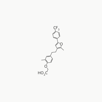 Cc1cc(CCc2cc(-c3ccc(C(F)(F)F)cc3)oc2C)ccc1OCC(=O)O